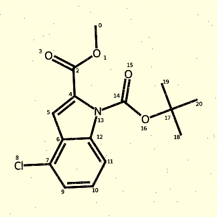 COC(=O)c1cc2c(Cl)cccc2n1C(=O)OC(C)(C)C